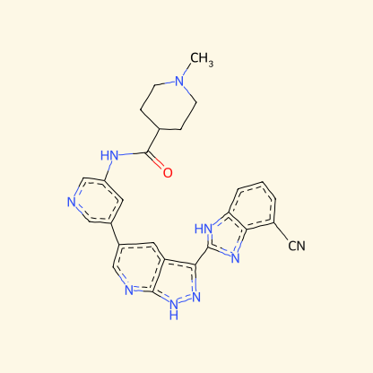 CN1CCC(C(=O)Nc2cncc(-c3cnc4[nH]nc(-c5nc6c(C#N)cccc6[nH]5)c4c3)c2)CC1